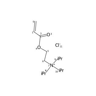 C=CC(=O)OCC[N+](C(C)C)(C(C)C)C(C)C.[Cl-]